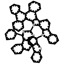 c1ccc(-c2nc(-n3c4c(c5ccccc5c5c6ccccc6c6ccccc6c54)c4ccc5c6ccccc6n(-c6cccc7c6sc6ccccc67)c5c43)nc3ccc4ccccc4c23)cc1